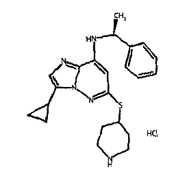 C[C@H](Nc1cc(SC2CCNCC2)nn2c(C3CC3)cnc12)c1ccccc1.Cl